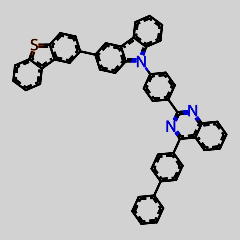 c1ccc(-c2ccc(-c3nc(-c4ccc(-n5c6ccccc6c6cc(-c7ccc8sc9ccccc9c8c7)ccc65)cc4)nc4ccccc34)cc2)cc1